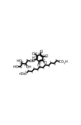 CCCCCCCCCCCCCCCCCCCCCC(=O)O.OCC(O)C(O)CO.Oc1c(Cl)c(Cl)c(Cl)c(Cl)c1Cl